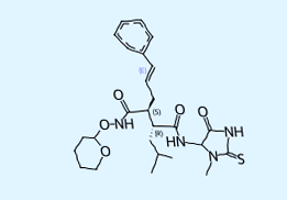 CC(C)C[C@@H](C(=O)NC1C(=O)NC(=S)N1C)[C@H](C/C=C/c1ccccc1)C(=O)NOC1CCCCO1